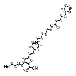 N#CC(C#N)c1sc(/C=C/c2cc[n+](CCCCCCOC(=O)CCCCC3CCSS3)cc2)cc1COCCO